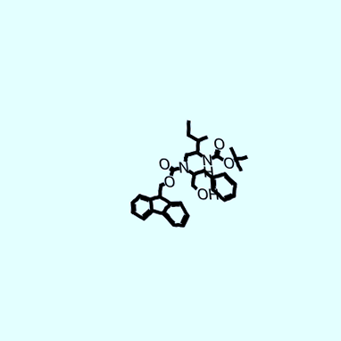 CCC(C)C(CN(C(=O)OCC1c2ccccc2-c2ccccc21)C(CO)Cc1ccccc1)NC(=O)OC(C)(C)C